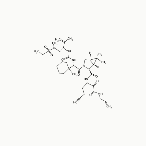 C#CCCC(NC(=O)[C@@H]1[C@@H]2[C@H](CN1C(=O)[C@@H](NC(=O)N[C@H](CN(C)S(=O)(=O)CC)C(=C)C)C1(C)CCCCC1)C2(C)C)C(=O)C(=O)NCC=C